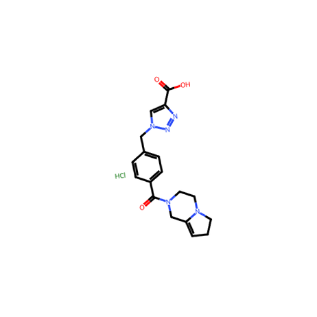 Cl.O=C(O)c1cn(Cc2ccc(C(=O)N3CCN4CCC=C4C3)cc2)nn1